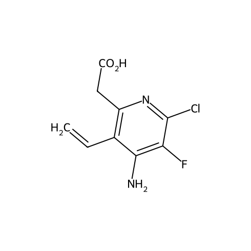 C=Cc1c(CC(=O)O)nc(Cl)c(F)c1N